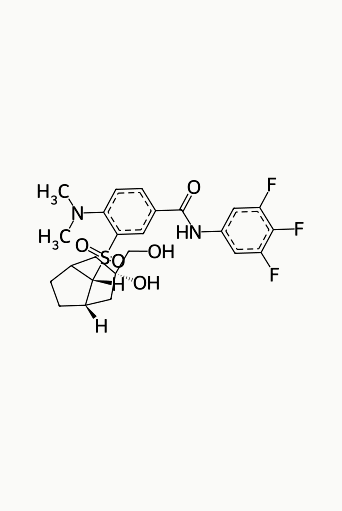 CN(C)c1ccc(C(=O)Nc2cc(F)c(F)c(F)c2)cc1S(=O)(=O)[C@H]1C2CC[C@H]1C[C@](O)(CO)C2